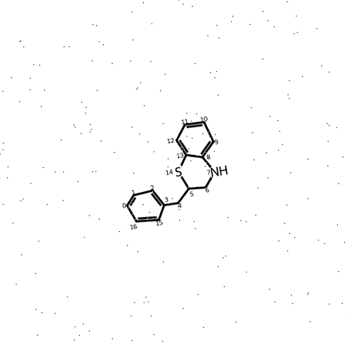 c1ccc(CC2CNc3ccccc3S2)cc1